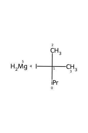 CC(C)C(C)(C)I.[MgH2]